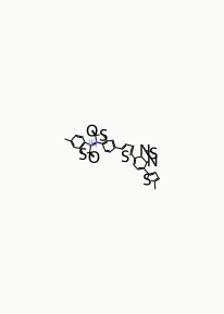 Cc1ccc2c(c1)SC(=O)/C2=C1/C(=O)Sc2cc(-c3ccc(-c4ccc(-c5ccc(C)s5)c5nsnc45)s3)ccc21